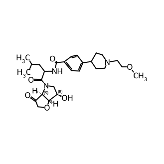 COCCN1CCC(c2ccc(C(=O)NC(CC(C)C)C(=O)N3C[C@@H](O)[C@H]4OCC(=O)[C@H]43)cc2)CC1